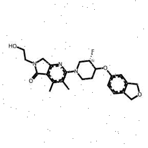 Cc1c(N2CCC(Oc3ccc4c(c3)COC4)[C@@H](F)C2)nc2c(c1C)C(=O)N(CCO)C2